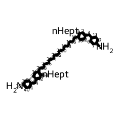 CCCCCCCc1cc(Cc2ccc(N)cc2)ccc1CCCCCCCCCCCCCCCc1ccc(Cc2ccc(N)cc2)cc1CCCCCCC